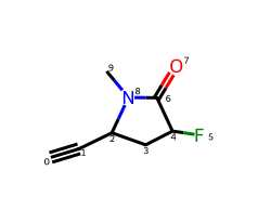 C#CC1CC(F)C(=O)N1C